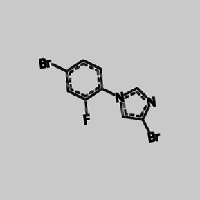 Fc1cc(Br)ccc1-n1cnc(Br)c1